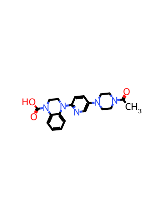 CC(=O)N1CCN(c2ccc(N3CCN(C(=O)O)c4ccccc43)nc2)CC1